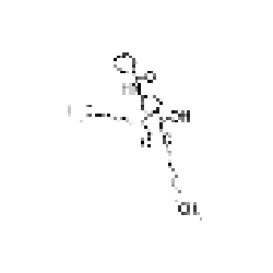 CCCCCCCCOc1c(O)c2ccc(NC(=O)c3ccccc3)cc2n(CCCCCC)c1=O